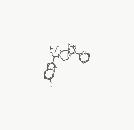 CC1c2nnc(-c3ccccn3)n2CCN1C(=O)c1cc2ccc(Cl)cn2n1